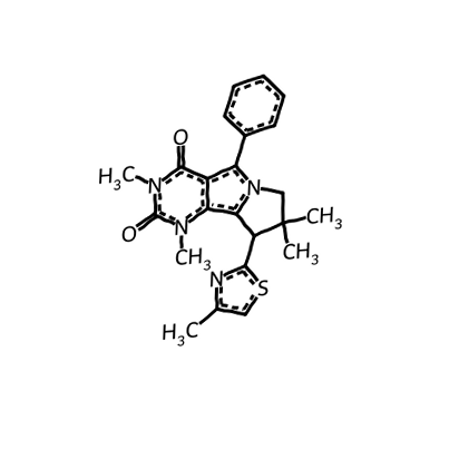 Cc1csc(C2c3c4c(c(-c5ccccc5)n3CC2(C)C)c(=O)n(C)c(=O)n4C)n1